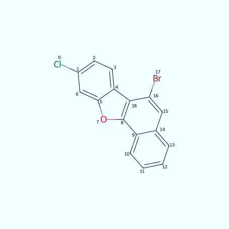 Clc1ccc2c(c1)oc1c3ccccc3cc(Br)c21